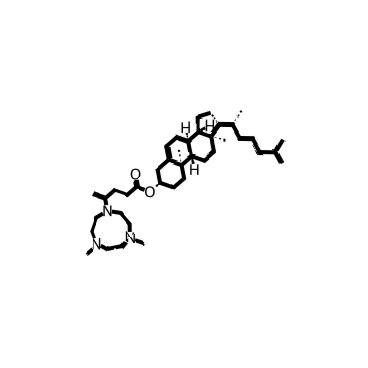 C=C(CCC(=O)O[C@H]1CC[C@@]2(C)C(=CC[C@H]3[C@@H]4CC[C@H]([C@H](C)CCCC(C)C)[C@@]4(C)CC[C@@H]32)C1)N1CCN(C)CCN(C)CC1